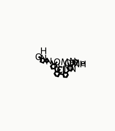 COc1nc(-c2cccc(-c3cccc(-c4cnc(C5=NCCN5)c(OC)n4)c3Cl)c2Cl)ccc1CN1CC2(CCC(=O)N2)C1